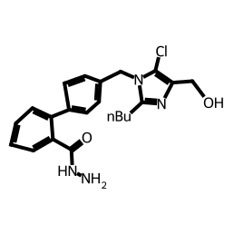 CCCCc1nc(CO)c(Cl)n1Cc1ccc(-c2ccccc2C(=O)NN)cc1